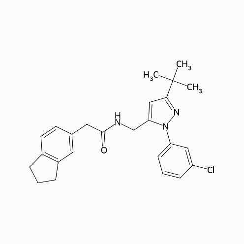 CC(C)(C)c1cc(CNC(=O)Cc2ccc3c(c2)CCC3)n(-c2cccc(Cl)c2)n1